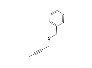 CC#CCSCc1ccccc1